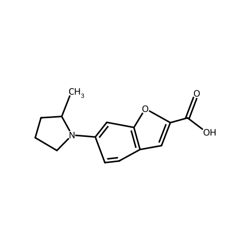 CC1CCCN1c1ccc2cc(C(=O)O)oc2c1